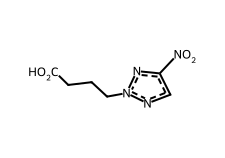 O=C(O)CCCn1ncc([N+](=O)[O-])n1